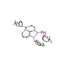 CPC1c2ccc(OC(C)=O)c3cccc(c23)C1C(C)(C)C